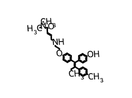 CCC(=C(c1ccc(O)cc1)c1ccc(OCCNCC=CC(=O)N(C)C)cc1)c1ccc(C)cc1